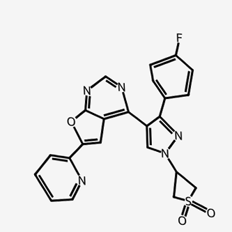 O=S1(=O)CC(n2cc(-c3ncnc4oc(-c5ccccn5)cc34)c(-c3ccc(F)cc3)n2)C1